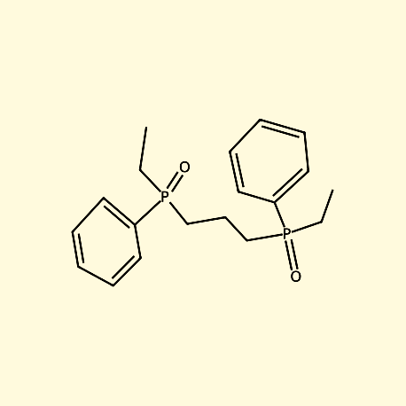 CCP(=O)(CCCP(=O)(CC)c1ccccc1)c1ccccc1